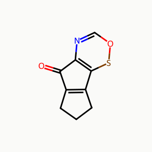 O=c1c2c(c3socnc1=3)CCC2